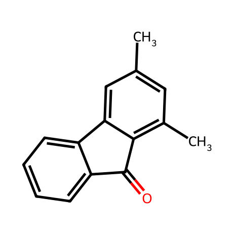 Cc1cc(C)c2c(c1)-c1ccccc1C2=O